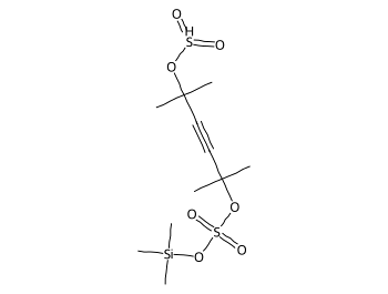 CC(C)(C#CC(C)(C)OS(=O)(=O)O[Si](C)(C)C)O[SH](=O)=O